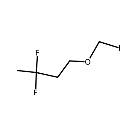 CC(F)(F)CCOCI